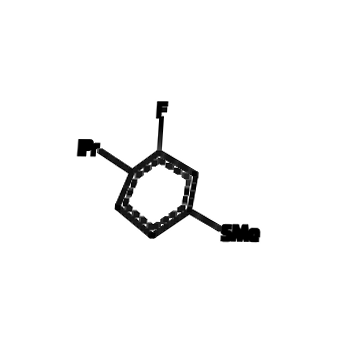 CSc1ccc(C(C)C)c(F)c1